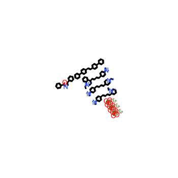 C(=Cc1ccc(-c2ccccc2)cc1)c1ccc(-c2ccccc2)cc1.CC[n+]1ccc(C=CC=Cc2ccc(N(C)C)cc2)c2ccccc21.CC[n+]1ccc(C=CC=Cc2ccc(N(C)C)cc2)cc1.CC[n+]1ccccc1C=CC=Cc1ccc(N(C)C)cc1.[O-][Cl+3]([O-])([O-])[O-].[O-][Cl+3]([O-])([O-])[O-].[O-][Cl+3]([O-])([O-])[O-].c1ccc(-c2cnc(-c3ccccc3)o2)cc1